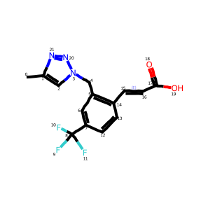 Cc1cn(Cc2cc(C(F)(F)F)ccc2/C=C/C(=O)O)nn1